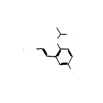 CC(O)Oc1ccc([N+](=O)[O-])cc1/C=C/C(=O)O